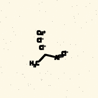 C[CH2][Al+2].[Cl-].[Cl-].[Cl-].[Cu+]